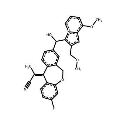 COCc1nc2c(OC)cccn2c1C(O)c1ccc2c(c1)COc1cc(F)ccc1C2=C(C)C#N